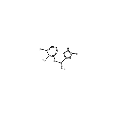 C=C(Nc1nccc(N)c1C)c1c[nH]c(Cl)n1